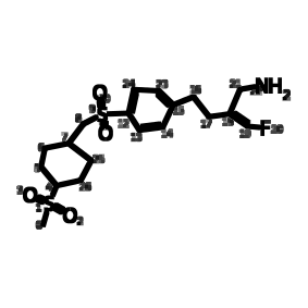 CS(=O)(=O)C1CCC(CS(=O)(=O)c2ccc(CC/C(=C/F)CN)cc2)CC1